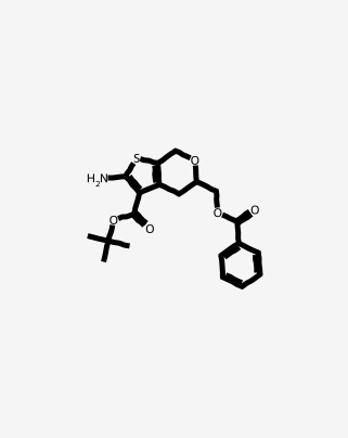 CC(C)(C)OC(=O)c1c(N)sc2c1CC(COC(=O)c1ccccc1)OC2